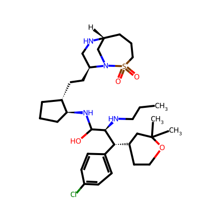 CCCN[C@H](C(O)N[C@H]1CCC[C@@H]1CC[C@H]1CN[C@@H]2CCCS(=O)(=O)N1C2)[C@@H](c1ccc(Cl)cc1)C1CCOC(C)(C)C1